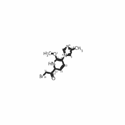 COC1=C(n2cnc(C)c2)C=CC(C(=O)CBr)N1